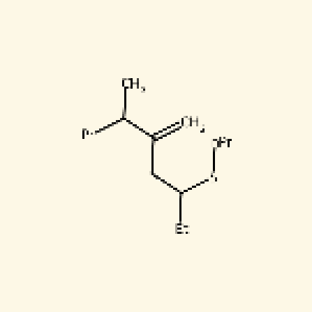 C=C(CC(CC)SCCC)C(C)C(C)C